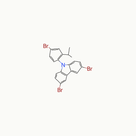 CC(C)c1cc(Br)ccc1-n1c2ccc(Br)cc2c2cc(Br)ccc21